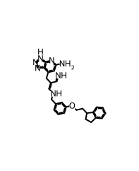 N=C/C(=C\NCc1cccc(OCCC2CCc3ccccc32)c1)Cc1cc(N)nc2[nH]nnc12